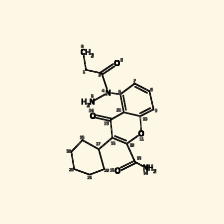 CCC(=O)N(N)c1cccc2oc(C(N)=O)c(C3CCCCC3)c(=O)c12